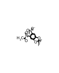 CC(=O)N(C)c1cc2c(cc1[N+](=O)[O-])OC(F)(F)O2